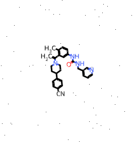 C=C(c1cc(NC(=O)NCc2cccnc2)ccc1C)N1CCC(c2ccc(C#N)cc2)CC1